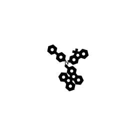 CC1(C)c2ccccc2-c2ccc(N(Cc3ccc4c(c3)C3(c5ccccc5-c5ccccc53)c3ccccc3-4)c3ccc(-c4ccccc4)cc3)cc21